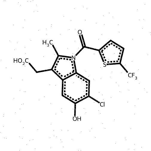 Cc1c(CC(=O)O)c2cc(O)c(Cl)cc2n1C(=O)c1ccc(C(F)(F)F)s1